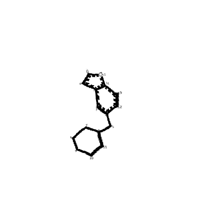 c1cc2cc(CC3CCCCC3)ccc2o1